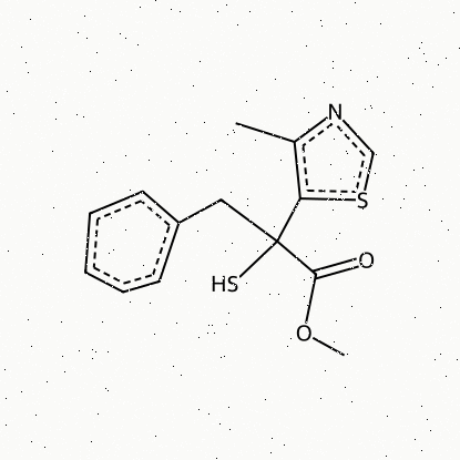 COC(=O)C(S)(Cc1ccccc1)c1scnc1C